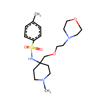 Cc1ccc(S(=O)(=O)NC2(COCCN3CCOCC3)CCN(C)CC2)cc1